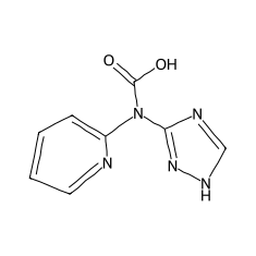 O=C(O)N(c1ccccn1)c1nc[nH]n1